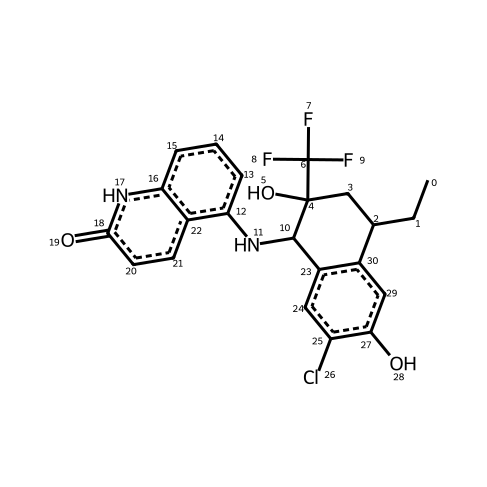 CCC1CC(O)(C(F)(F)F)C(Nc2cccc3[nH]c(=O)ccc23)c2cc(Cl)c(O)cc21